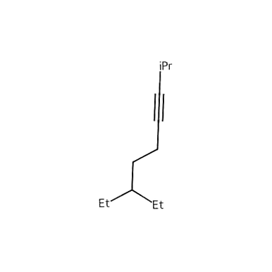 CCC(CC)CCC#CC(C)C